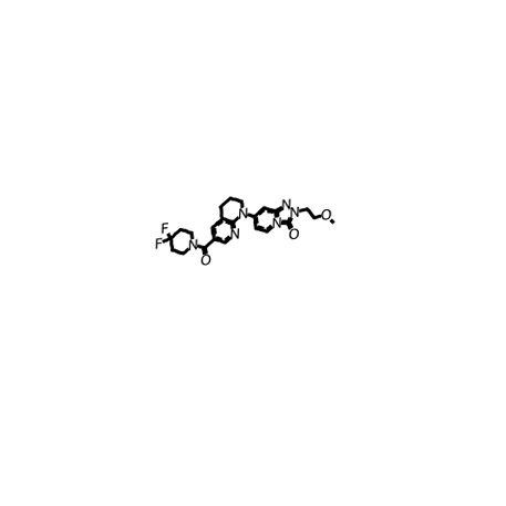 COCCn1nc2cc(N3CCCc4cc(C(=O)N5CCC(F)(F)CC5)cnc43)ccn2c1=O